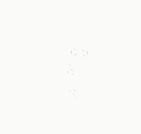 CC1CN(Cc2ccc(Oc3ccc(C(F)(F)F)cc3)cc2)CCN1c1ccc(OCC2CCn3cc([N+](=O)[O-])nc3O2)cc1